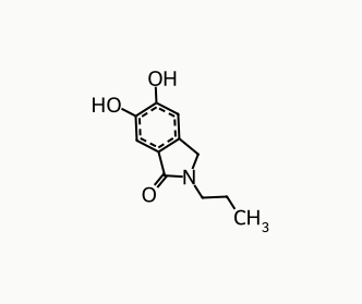 CCCN1Cc2cc(O)c(O)cc2C1=O